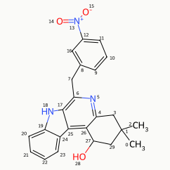 CC1(C)Cc2nc(Cc3cccc([N+](=O)[O-])c3)c3[nH]c4ccccc4c3c2C(O)C1